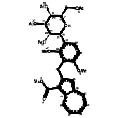 COC(=O)c1c(Cc2c(OC)ccc([C@@H]3O[C@H](COC(C)=O)[C@@H](OC(C)=O)[C@H](OC(C)=O)[C@H]3OC(C)=O)c2OC)cc2cccccc1-2